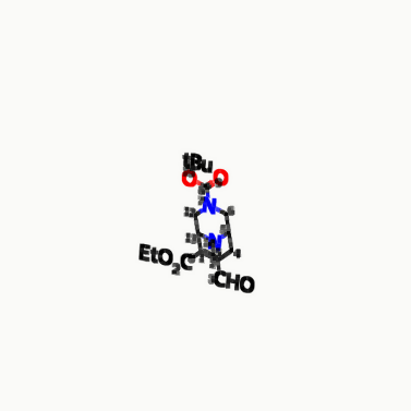 CCOC(=O)C1=C(C=O)CC2CN(C(=O)OC(C)(C)C)CC1N2C